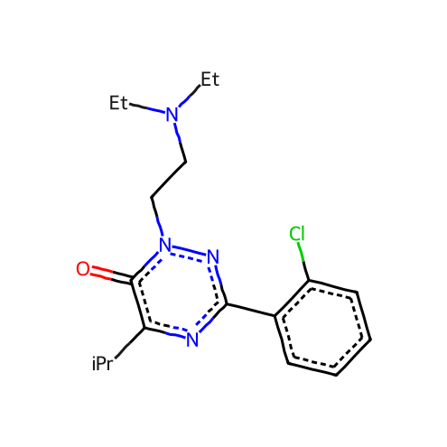 CCN(CC)CCn1nc(-c2ccccc2Cl)nc(C(C)C)c1=O